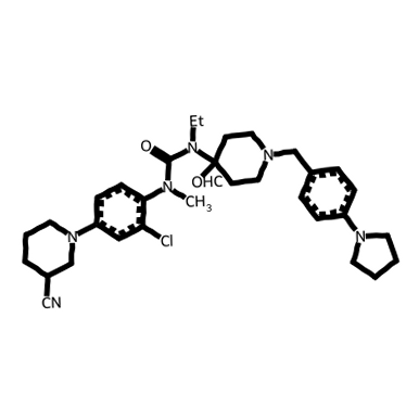 CCN(C(=O)N(C)c1ccc(N2CCCC(C#N)C2)cc1Cl)C1(C=O)CCN(Cc2ccc(N3CCCC3)cc2)CC1